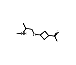 CNC(C)COC1CC(C(C)=O)C1